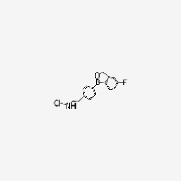 Fc1ccc2c(c1)COB2c1ccc(CCNCl)cc1